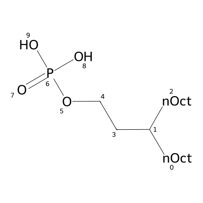 CCCCCCCCC(CCCCCCCC)CCOP(=O)(O)O